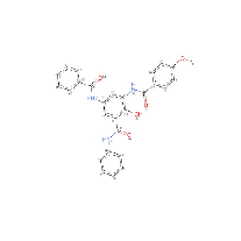 COc1ccc(C(=O)Nc2cc(NC(=O)c3ccccc3)cc(C(=O)Nc3ccccc3)c2O)cc1